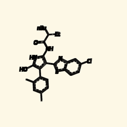 CCCCC(CC)C(=O)Nc1[nH]c(O)c(-c2ccc(C)cc2C)c1-c1nc2cc(Cl)ccc2s1